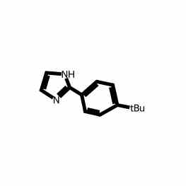 CC(C)(C)c1ccc(-c2ncc[nH]2)cc1